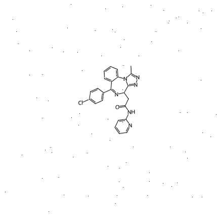 Cc1nnc2n1-c1ccccc1C(c1ccc(Cl)cc1)=NC2CC(=O)Nc1ccccn1